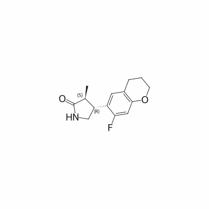 C[C@@H]1C(=O)NC[C@H]1c1cc2c(cc1F)OCCC2